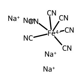 N#[C][Fe-4]([C]#N)([C]#N)([C]#N)([C]#N)[N]=O.[Na+].[Na+].[Na+].[Na+]